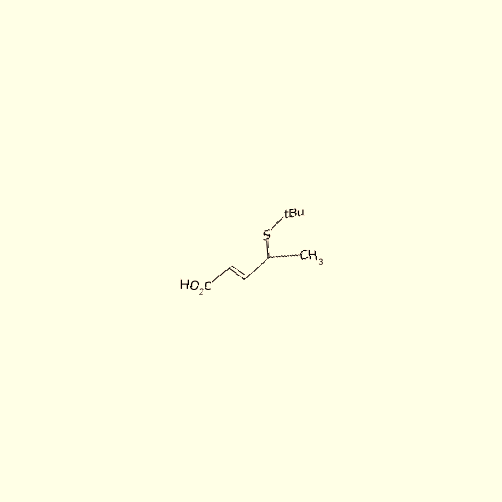 CC(C=CC(=O)O)SC(C)(C)C